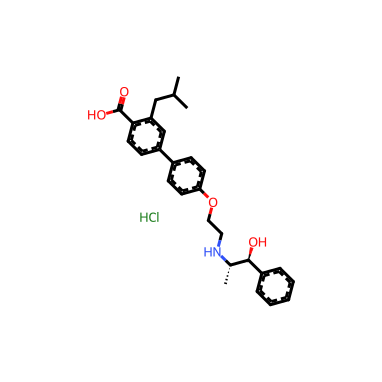 CC(C)Cc1cc(-c2ccc(OCCN[C@@H](C)[C@@H](O)c3ccccc3)cc2)ccc1C(=O)O.Cl